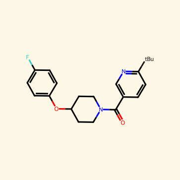 CC(C)(C)c1ccc(C(=O)N2CCC(Oc3ccc(F)cc3)CC2)cn1